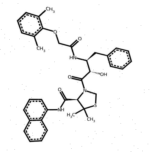 Cc1cccc(C)c1OCC(=O)N[C@@H](Cc1ccccc1)[C@H](O)C(=O)N1CSC(C)(C)[C@H]1C(=O)Nc1cccc2ccccc12